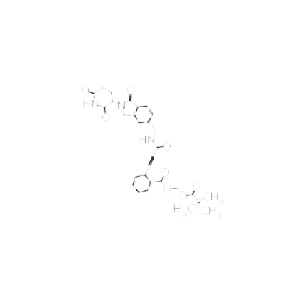 CC(C)(C)C(=O)OCOC(=O)c1ccccc1C#CC(=O)NCc1ccc2c(c1)CN(C1CCC(=O)NC1=O)C2=O